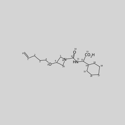 C=CCCCOC1CN(C(=O)NC(C(=O)O)C2CCCCC2)C1